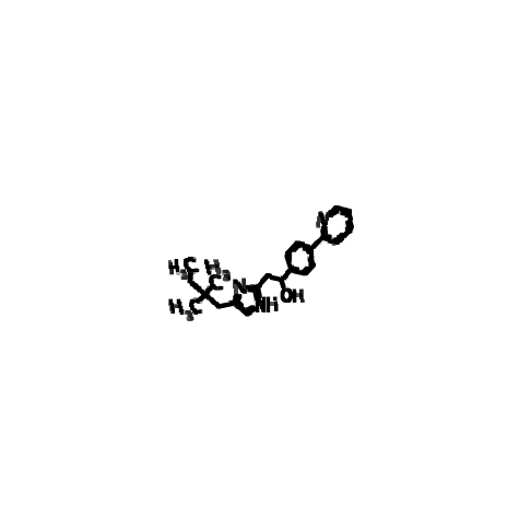 CCC(C)(C)Cc1c[nH]c(CC(O)c2ccc(-c3ccccn3)cc2)n1